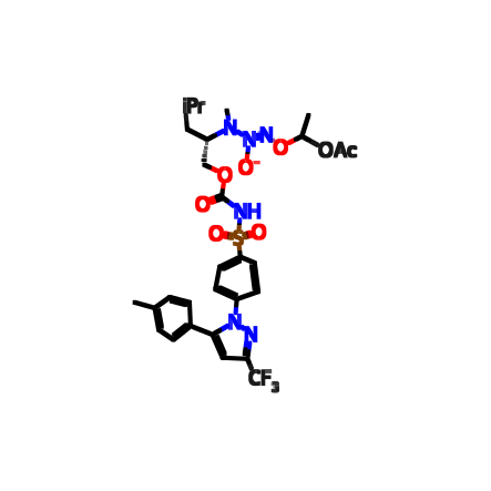 CC(=O)OC(C)O/N=[N+](\[O-])N(C)[C@H](COC(=O)NS(=O)(=O)c1ccc(-n2nc(C(F)(F)F)cc2-c2ccc(C)cc2)cc1)CC(C)C